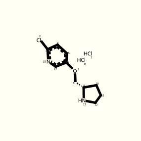 Cl.Cl.Clc1ccc(OC[C@@H]2CCCN2)cn1